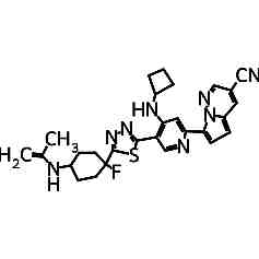 C=C(C)NC1CCC(F)(c2nnc(-c3cnc(-c4ccc5cc(C#N)cnn45)cc3NC3CCC3)s2)CC1